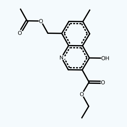 CCOC(=O)c1cnc2c(COC(C)=O)cc(C)cc2c1O